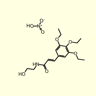 CCOc1cc(C=CC(=O)NCCO)cc(OCC)c1OCC.O=[N+]([O-])O